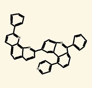 c1ccc(-c2ccc3ccc4ccc(-c5ccc6nc(-c7ccccc7)c7cccc(-c8ccncc8)c7c6c5)nc4c3n2)cc1